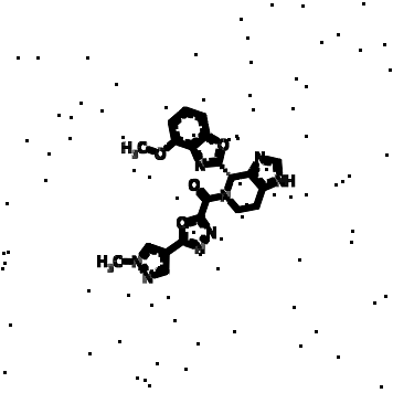 COc1cccc2oc([C@@H]3c4nc[nH]c4CCN3C(=O)c3nnc(-c4cnn(C)c4)o3)nc12